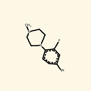 CC(C)c1ccc(N2CCN(C)CC2)c(F)c1